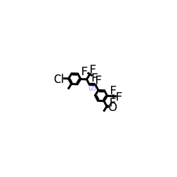 CC(=O)c1ccc(/C(F)=C/C(c2ccc(Cl)c(C)c2)C(F)(F)F)cc1C(F)(F)F